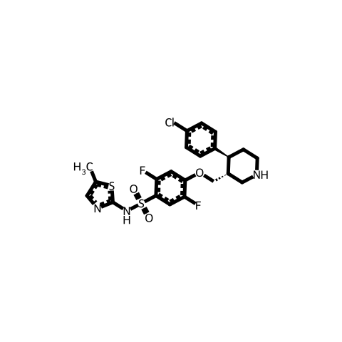 Cc1cnc(NS(=O)(=O)c2cc(F)c(OC[C@H]3CNCC[C@@H]3c3ccc(Cl)cc3)cc2F)s1